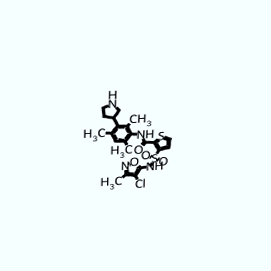 Cc1cc(C)c(C2CCNC2)c(C)c1NC(=O)c1sccc1S(=O)(=O)Nc1onc(C)c1Cl